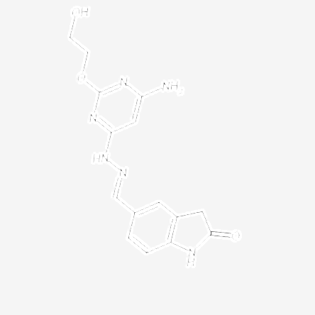 Nc1cc(NN=Cc2ccc3c(c2)CC(=O)N3)nc(OCCO)n1